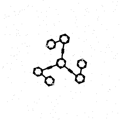 C(#Cc1ccccc1-c1ccncc1)c1cc(C#Cc2ccccc2-c2ccncc2)cc(C#Cc2ccccc2-c2ccncc2)c1